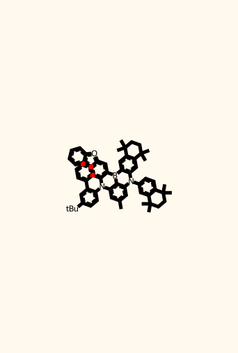 Cc1cc2c3c(c1)N(c1ccc(C(C)(C)C)cc1-c1ccccc1)c1cc4c(cc1B3c1cc3c(cc1N2c1ccc2c(c1)C(C)(C)CCC2(C)C)C(C)(C)CCC3(C)C)oc1ccccc14